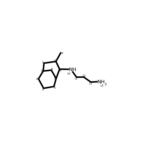 CC1CC2CCCC(C2)C1NCCCN